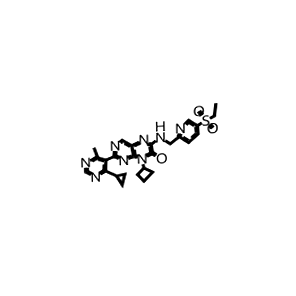 CCS(=O)(=O)c1ccc(CNc2nc3cnc(-c4c(C)ncnc4C4CC4)nc3n(C3CCC3)c2=O)nc1